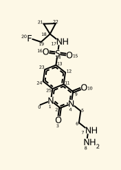 Cn1c(=O)n(CCNN)c(=O)c2cc(S(=O)(=O)NC3(CF)CC3)ccc21